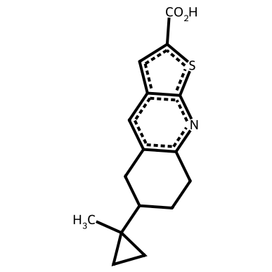 CC1(C2CCc3nc4sc(C(=O)O)cc4cc3C2)CC1